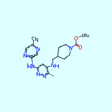 Cc1nnc(Nc2cnc(C#N)cn2)cc1NCC1CCN(C(=O)OC(C)(C)C)CC1